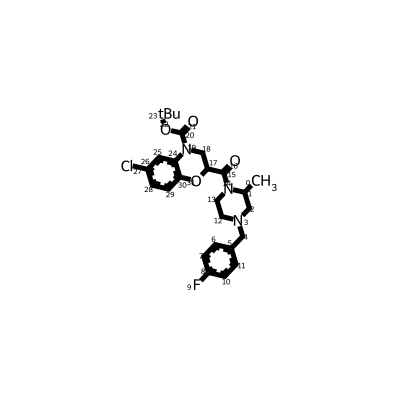 CC1CN(Cc2ccc(F)cc2)CCN1C(=O)C1CN(C(=O)OC(C)(C)C)c2cc(Cl)ccc2O1